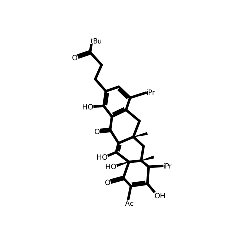 CC(=O)C1=C(O)C(C(C)C)[C@@]2(C)C[C@@]3(C)Cc4c(C(C)C)cc(CCC(=O)C(C)(C)C)c(O)c4C(=O)C3=C(O)[C@@]2(O)C1=O